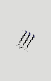 CCCCCCCC/C=C\CCCCCCCCO[PH](=O)[O-].CCCCCCCC/C=C\CCCCCCCCO[PH](=O)[O-].CCCCCCCC/C=C\CCCCCCCCO[PH](=O)[O-].[Co+3]